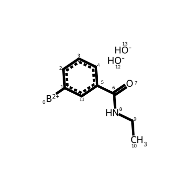 [B+2]c1cccc(C(=O)NCC)c1.[OH-].[OH-]